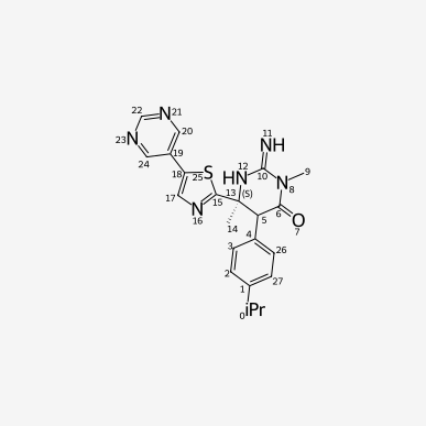 CC(C)c1ccc(C2C(=O)N(C)C(=N)N[C@]2(C)c2ncc(-c3cncnc3)s2)cc1